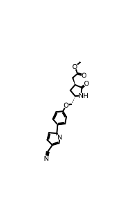 COC(=O)C[C@@H]1C[C@@H](COc2ccc(-c3ccc(C#N)cn3)cc2)NC1=O